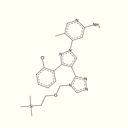 Cc1cnc(N)cc1-n1cc(-c2nncn2COCC[Si](C)(C)C)c(-c2ccccc2Cl)n1